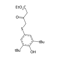 CCOC(=O)CC(=O)CSc1cc(C(C)(C)C)c(O)c(C(C)(C)C)c1